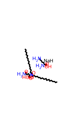 CCCCCCCCCCCCCCCCCC(=O)N(C(=O)CCCCCCCCCCCCCCCCC)C(CCC(N)=O)C(=O)O.NCCCCC(N)C(=O)O.[NaH]